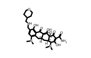 CN(C)c1cc(CNCC2CCOCC2)c(O)c2c1C[C@H]1C[C@@H]3C(N(C)C)C(O)=C(C(N)=O)C(=O)[C@@]3(O)C(O)=C1C2=O